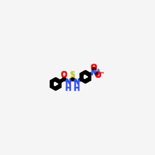 O=C(NC(=S)Nc1ccc([N+](=O)[O-])cc1)c1ccccc1